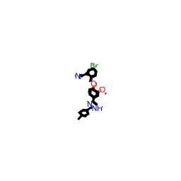 COc1cc(-c2c[nH]c(-c3ccc(C)cc3)n2)ccc1OCc1ccc(Br)cc1C#N